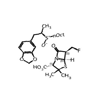 CC1(C)S[C@@H]2[C@H](CF)C(=O)N2[C@H]1C(=O)O.CCCCCCCC[S+]([O-])C(C)Cc1ccc2c(c1)OCO2